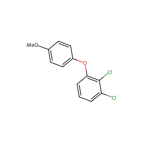 COc1ccc(Oc2[c]ccc(Cl)c2Cl)cc1